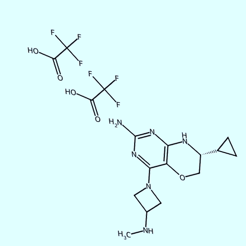 CNC1CN(c2nc(N)nc3c2OC[C@@H](C2CC2)N3)C1.O=C(O)C(F)(F)F.O=C(O)C(F)(F)F